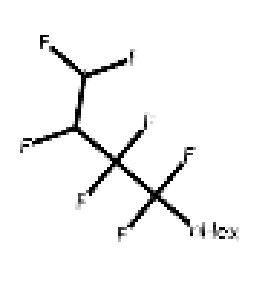 CCCCCCC(F)(F)C(F)(F)C(F)[C](F)F